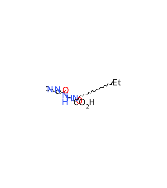 CCC=CCC=CCC=CCC=CCC=CCCCC(=O)NC(CCCCNC(=O)c1ccc(CCN2CCCC2)nc1)C(=O)O